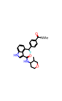 CNC(=O)c1ccc(C(F)c2cccc3[nH]cc(C(=O)NC4CCOCC4C)c23)cc1